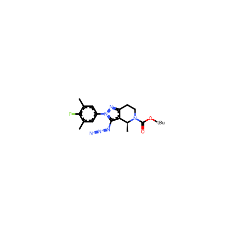 Cc1cc(-n2nc3c(c2N=[N+]=[N-])[C@H](C)N(C(=O)OC(C)(C)C)CC3)cc(C)c1F